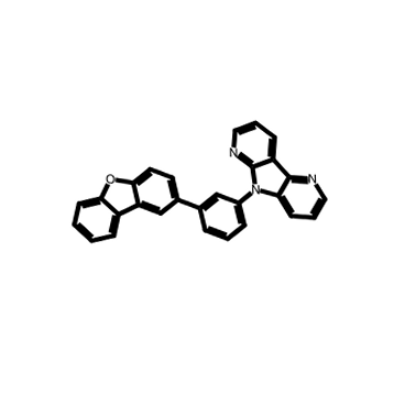 c1cc(-c2ccc3oc4ccccc4c3c2)cc(-n2c3cccnc3c3cccnc32)c1